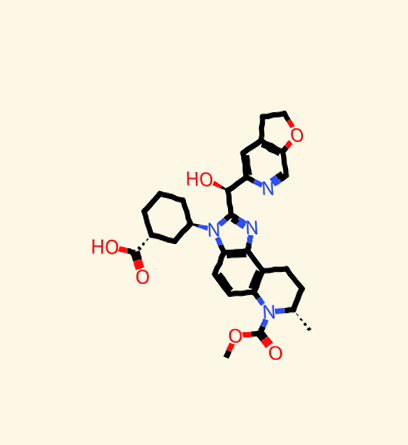 COC(=O)N1c2ccc3c(nc([C@@H](O)c4cc5c(cn4)OCC5)n3[C@@H]3CCC[C@@H](C(=O)O)C3)c2CC[C@@H]1C